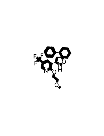 COCCOc1ncc(C(F)(F)F)cc1[C@@H]1C[C@@]2(CCCC[C@H]2c2ccccc2)ON1